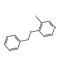 Ic1cnccc1OCc1ccccc1